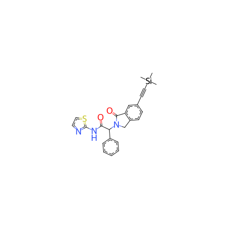 C[Si](C)(C)C#Cc1ccc2c(c1)C(=O)N(C(C(=O)Nc1nccs1)c1ccccc1)C2